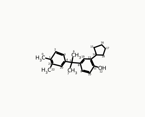 Cc1ccc(C(C)(C)c2ccc(O)c(C3CCCC3)c2)cc1C